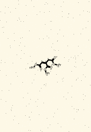 CCCOC(=O)C=C(CC(=O)OCCC)C(=O)OCCC